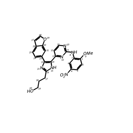 COc1ccc([N+](=O)[O-])cc1Nc1nccc(-c2[nH]c(CCCO)nc2-c2ccc3ccoc3c2)n1